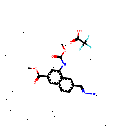 COC(=O)Nc1cc(C(=O)OC)cc2ccc(C=NN)cc12.O=C(O)C(F)(F)F